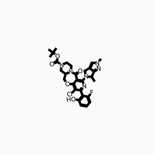 CC1c2nn(C)cc2CN1c1nc(-c2c(O)cccc2F)c(Cl)c2c1C(=O)N1CCN(C(=O)OC(C)(C)C)CC1CO2